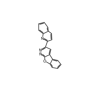 c1ccc2nc(-c3cc4c(nn3)oc3ccccc34)ccc2c1